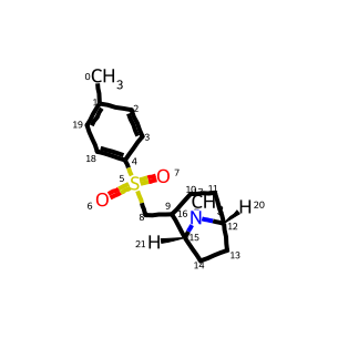 Cc1ccc(S(=O)(=O)CC2CC[C@@H]3CC[C@H]2N3C)cc1